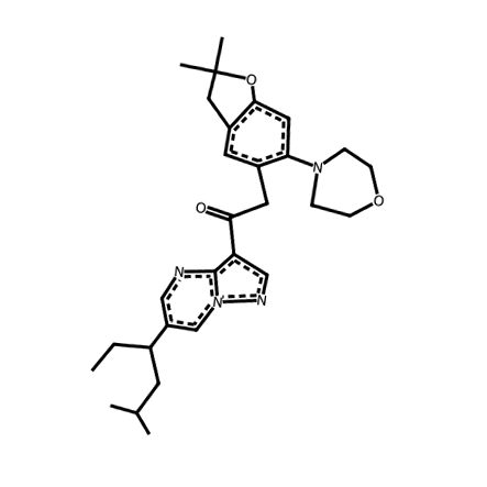 CCC(CC(C)C)c1cnc2c(C(=O)Cc3cc4c(cc3N3CCOCC3)OC(C)(C)C4)cnn2c1